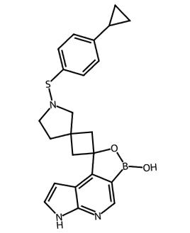 OB1OC2(CC3(CCN(Sc4ccc(C5CC5)cc4)C3)C2)c2c1cnc1[nH]ccc21